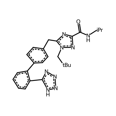 CC(C)NC(=O)c1nc(Cc2ccc(-c3ccccc3-c3nnn[nH]3)cc2)n(CC(C)(C)C)n1